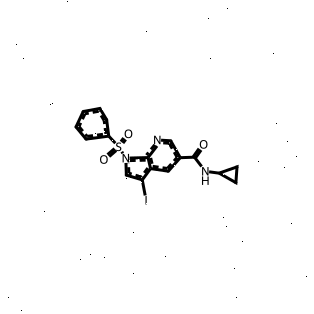 O=C(NC1CC1)c1cnc2c(c1)c(I)cn2S(=O)(=O)c1ccccc1